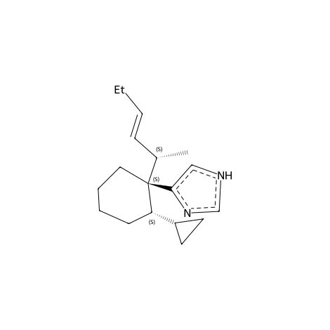 CCC=C[C@H](C)[C@@]1(c2c[nH]cn2)CCCC[C@H]1C1CC1